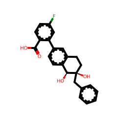 O=C(O)c1ccc(F)cc1-c1ccc2c(c1)CC[C@](O)(Cc1ccccc1)[C@H]2O